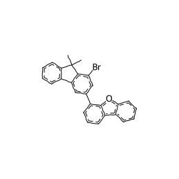 CC1(C)c2ccccc2-c2cc(-c3cccc4c3oc3ccccc34)cc(Br)c21